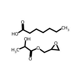 CC(O)C(=O)OCC1CO1.CCCCCCC(=O)O